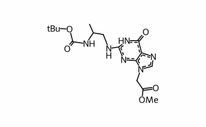 COC(=O)Cn1cnc2c(=O)[nH]c(NCC(C)NC(=O)OC(C)(C)C)nc21